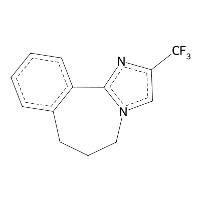 FC(F)(F)c1cn2c(n1)-c1ccccc1CCC2